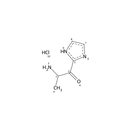 CC(N)C(=O)c1ncc[nH]1.Cl